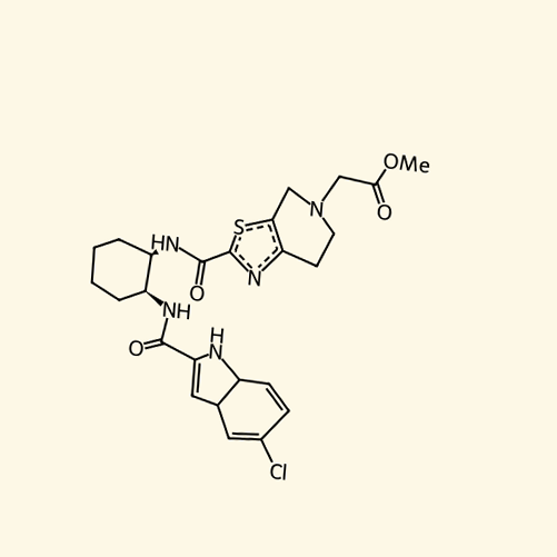 COC(=O)CN1CCc2nc(C(=O)N[C@@H]3CCCC[C@@H]3NC(=O)C3=CC4C=C(Cl)C=CC4N3)sc2C1